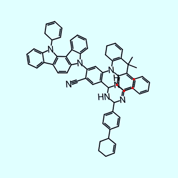 CC1(C)C2=C(CCC=C2)N(c2cc(-n3c4ccccc4c4c3ccc3c5ccccc5n(C5C=CC=CC5)c34)c(C#N)cc2C2NC(c3ccccc3)=NC(c3ccc(C4C=CCCC4)cc3)N2)c2ccccc21